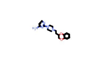 Nc1ccnc(N2CCN(CCC3COc4ccccc4O3)CC2)n1